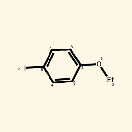 CCOc1[c]cc(I)cc1